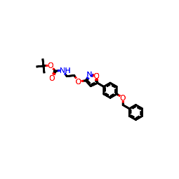 CC(C)(C)OC(=O)NCCOc1cc(-c2ccc(OCc3ccccc3)cc2)on1